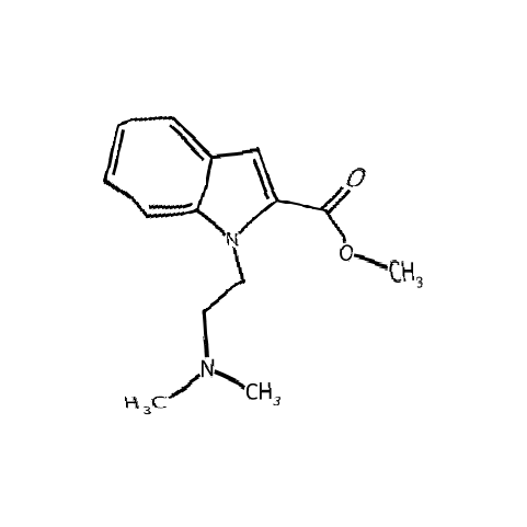 COC(=O)c1cc2ccccc2n1CCN(C)C